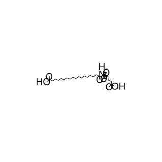 O=C(O)CCCCCCCCCCCCCCCCC(=O)NS(=O)(=O)CCCC(=O)O